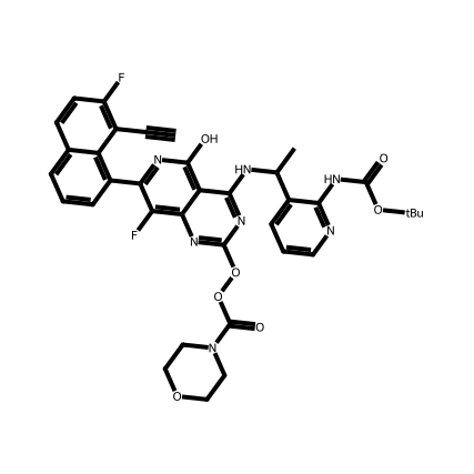 C#Cc1c(F)ccc2cccc(-c3nc(O)c4c(NC(C)c5cccnc5NC(=O)OC(C)(C)C)nc(OOC(=O)N5CCOCC5)nc4c3F)c12